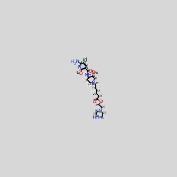 COc1nc(N)c(Cl)cc1C(=O)N[C@@H]1CCN(CCCCCC(=O)OCCN2CCNCC2)C[C@@H]1OC